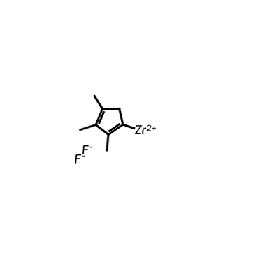 CC1=C(C)C(C)=[C]([Zr+2])C1.[F-].[F-]